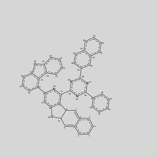 C1=c2ccccc2=CC2c3c(cc(-c4cccc5oc6ccccc6c45)nc3-c3nc(-c4ccccc4)nc(-c4ccc5ccccc5c4)n3)OC12